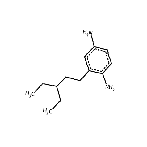 CCC(CC)CCc1cc(N)ccc1N